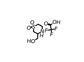 O=C(O)C(F)(F)F.O=S1(=O)CCNC(CO)C1